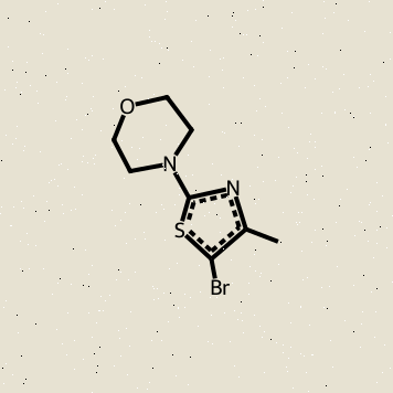 Cc1nc(N2CCOCC2)sc1Br